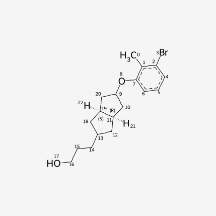 Cc1c(Br)cccc1OC1C[C@H]2CC(CCCO)C[C@H]2C1